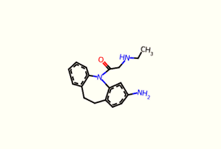 CCNCC(=O)N1c2ccccc2CCc2ccc(N)cc21